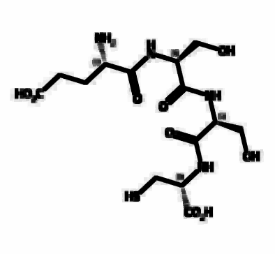 N[C@@H](CCC(=O)O)C(=O)N[C@@H](CO)C(=O)N[C@@H](CO)C(=O)N[C@@H](CS)C(=O)O